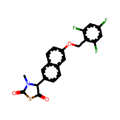 CN1C(=O)SC(=O)C1c1ccc2cc(OCc3c(F)cc(F)cc3F)ccc2c1